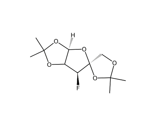 CC1(C)OC2[C@@H](O1)O[C@]1(COC(C)(C)O1)[C@H]2F